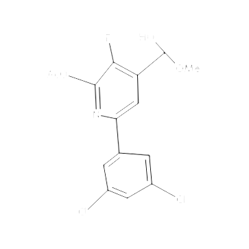 COC(O)c1cc(-c2cc(Cl)cc(Cl)c2)nc(OC(C)=O)c1F